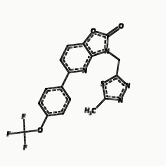 Cc1nnc(Cn2c(=O)oc3ccc(-c4ccc(OC(F)(F)F)cc4)nc32)s1